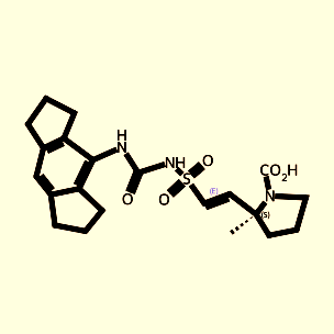 C[C@@]1(/C=C/S(=O)(=O)NC(=O)Nc2c3c(cc4c2CCC4)CCC3)CCCN1C(=O)O